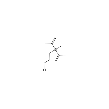 C=C(C)[Si](C)(CCCCl)C(=C)C